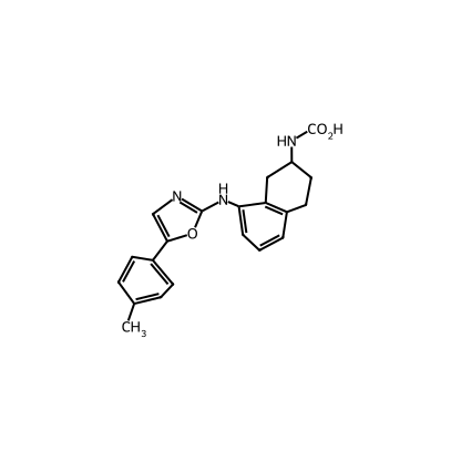 Cc1ccc(-c2cnc(Nc3cccc4c3CC(NC(=O)O)CC4)o2)cc1